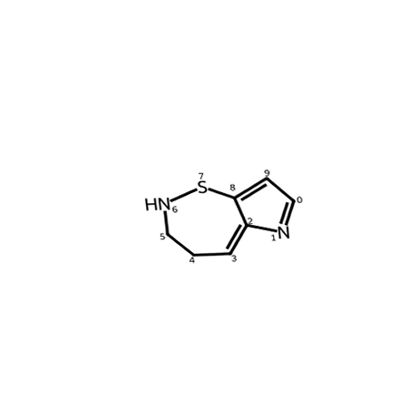 C1=NC2=CCCNSC2=C1